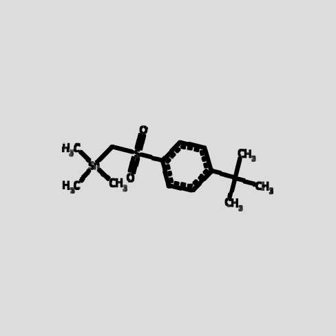 CC(C)(C)c1ccc(S(=O)(=O)[CH2][Sn]([CH3])([CH3])[CH3])cc1